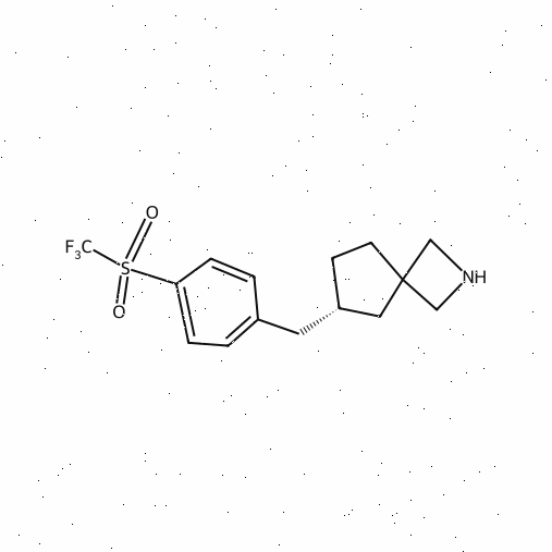 O=S(=O)(c1ccc(C[C@@H]2CCC3(CNC3)C2)cc1)C(F)(F)F